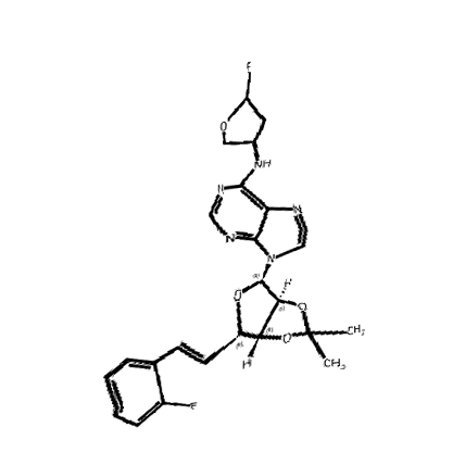 CC1(C)O[C@H]2[C@H](O1)[C@@H](C=Cc1ccccc1F)O[C@H]2n1cnc2c(NC3COC(F)C3)ncnc21